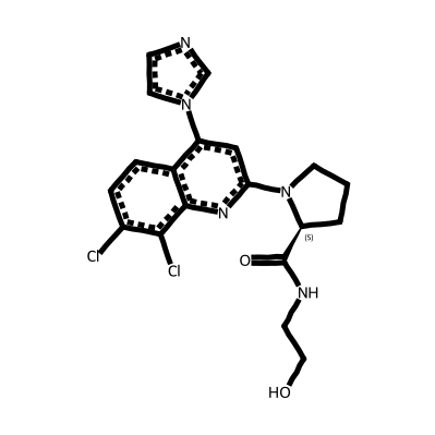 O=C(NCCO)[C@@H]1CCCN1c1cc(-n2ccnc2)c2ccc(Cl)c(Cl)c2n1